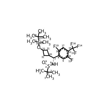 CC(C)(C)[S@+]([O-])N[C@@H](c1cc(F)c(C(F)(F)F)cc1F)C1CC(O[Si](C)(C)C(C)(C)C)C1